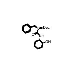 CCCCCCCCCCN(Cc1ccccc1)C(=O)N[C@H]1CCCC[C@@H]1O